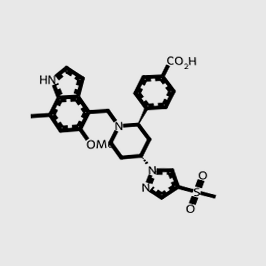 COc1cc(C)c2[nH]ccc2c1CN1CC[C@@H](n2cc(S(C)(=O)=O)cn2)C[C@@H]1c1ccc(C(=O)O)cc1